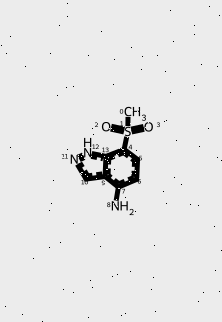 CS(=O)(=O)c1ccc(N)c2cn[nH]c12